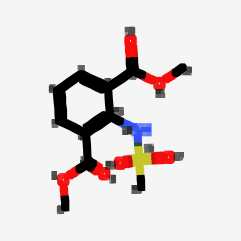 COC(=O)c1cccc(C(=O)OC)c1NS(C)(=O)=O